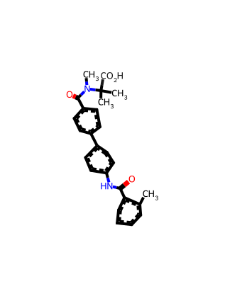 Cc1ccccc1C(=O)Nc1ccc(-c2ccc(C(=O)N(C)C(C)(C)C(=O)O)cc2)cc1